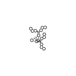 CC1(C2(C)c3ccccc3-c3ccc(N(c4ccc5c(ccc6ccccc65)c4)c4ccc5c(ccc6ccccc65)c4)cc32)c2ccccc2-c2ccc(N(c3ccc4c(ccc5ccccc54)c3)c3ccc4c(ccc5ccccc54)c3)cc21